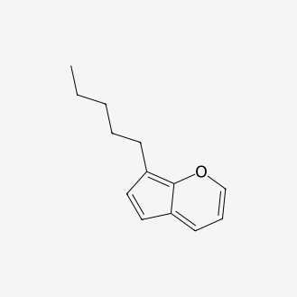 CCCCCc1ccc2cccoc1-2